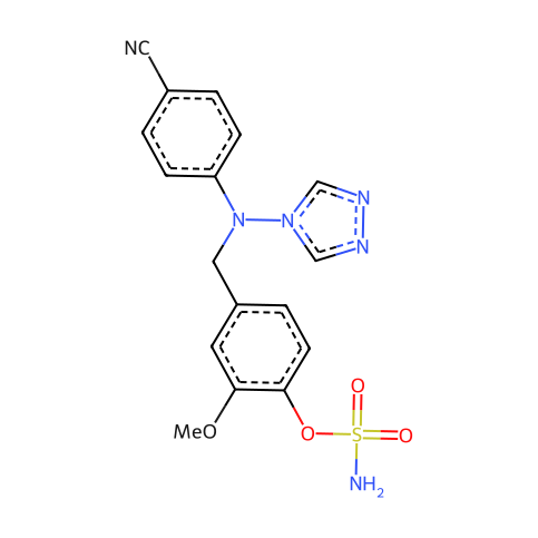 COc1cc(CN(c2ccc(C#N)cc2)n2cnnc2)ccc1OS(N)(=O)=O